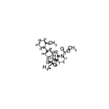 COC(=O)N1CCC[C@@H](NS(C)(=O)=O)[C@H]1Cc1cccc(-c2ccccc2C)c1